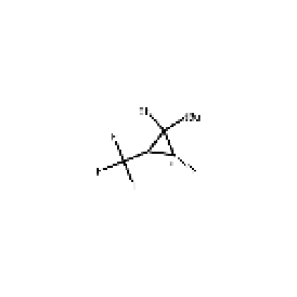 CCC1(C(C)(C)C)C(C(F)(F)I)[C@H]1C